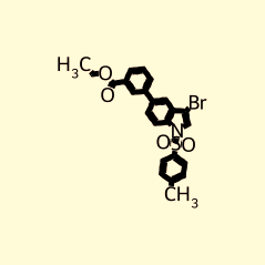 CCOC(=O)c1cccc(-c2ccc3c(c2)c(Br)cn3S(=O)(=O)c2ccc(C)cc2)c1